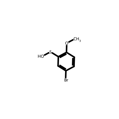 COc1ccc(Br)cc1SO